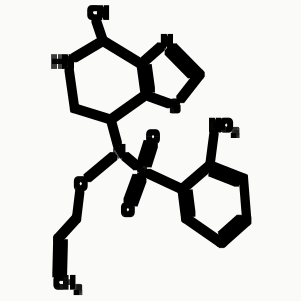 C=CCON(C1CNC(C#N)c2ncsc21)S(=O)(=O)c1ccccc1[N+](=O)[O-]